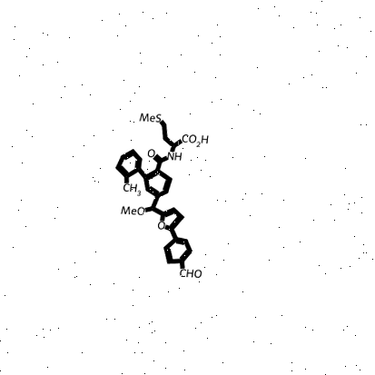 COC(c1ccc(C(=O)NC(CCSC)C(=O)O)c(-c2ccccc2C)c1)c1ccc(-c2ccc(C=O)cc2)o1